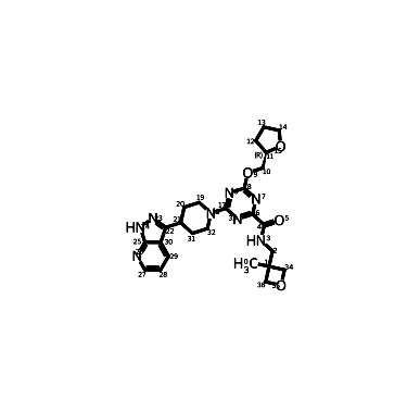 CC1(CNC(=O)c2nc(OC[C@H]3CCCO3)nc(N3CCC(c4n[nH]c5ncccc45)CC3)n2)COC1